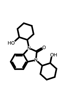 O=c1n(C2CCCCC2O)c2ccccc2n1C1CCCCC1O